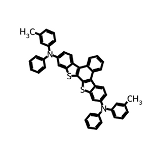 Cc1cccc(N(c2ccccc2)c2ccc3c(c2)sc2c4sc5cc(N(c6ccccc6)c6cccc(C)c6)ccc5c4c4ccccc4c32)c1